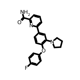 NC(=O)c1cccc(-c2ccc(Oc3ccc(F)cc3)c(N3CCCC3)c2)n1